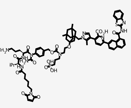 Cc1c(-c2ccc(-c3ccc4cccc(C(=O)Nc5nc6ccccc6s5)c4c3)nc2C(=O)O)cnn1CC12CC3(C)CC(C)(C1)CC(OCCN(CCCP(=O)(O)O)C(=O)OCc1ccc(N(C(N)=O)C(=O)[C@H](CCCN)NC(=O)[C@@H](NC(=O)CCCCCN4C(=O)C=CC4=O)C(C)C)cc1)(C3)C2